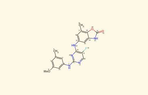 COc1cc(C)cc(Nc2ncc(F)c(Nc3cc(C)c4oc(=O)[nH]c4c3)n2)c1